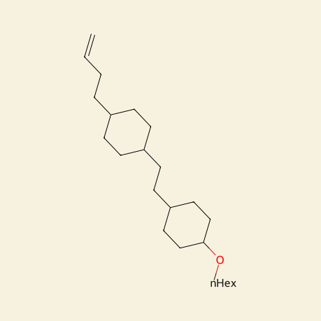 C=CCCC1CCC(CCC2CCC(OCCCCCC)CC2)CC1